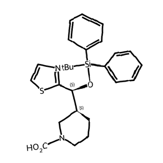 CC(C)(C)[Si](O[C@H](c1nccs1)[C@H]1CCCN(C(=O)O)C1)(c1ccccc1)c1ccccc1